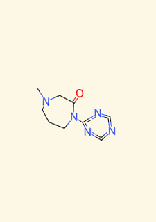 CN1CCCN(c2ncncn2)C(=O)C1